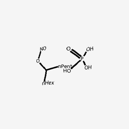 CCCCCCC(CCCCC)ON=O.O=P(O)(O)O